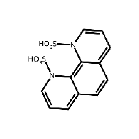 O=S(=O)(O)N1C=CC=c2ccc3c(c21)N(S(=O)(=O)O)C=CC=3